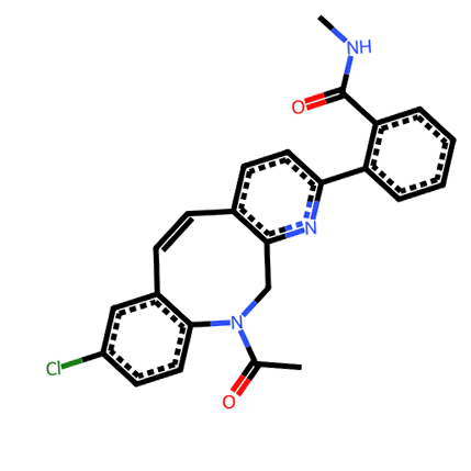 CNC(=O)c1ccccc1-c1ccc2c(n1)CN(C(C)=O)c1ccc(Cl)cc1C=C2